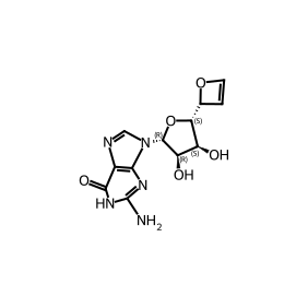 Nc1nc2c(ncn2[C@@H]2O[C@H](C3C=CO3)[C@@H](O)[C@H]2O)c(=O)[nH]1